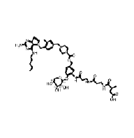 CCCCCNc1nc(N)nc2ccn(Cc3ccc(CN4CCN(C(=O)OCc5ccc(O[C@@H]6OC[C@@H](O)[C@H](O)[C@H]6O)c(NC(=O)CCNC(=O)CCNC(=O)C(C)CC(=O)O)c5)CC4)cc3C)c12